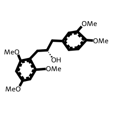 COc1cc(OC)c(C[C@@H](O)Cc2ccc(OC)c(OC)c2)c(OC)c1